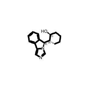 O[C@H]1CCCC[C@@H]1[C@@H]1c2ccccc2-c2cncn21